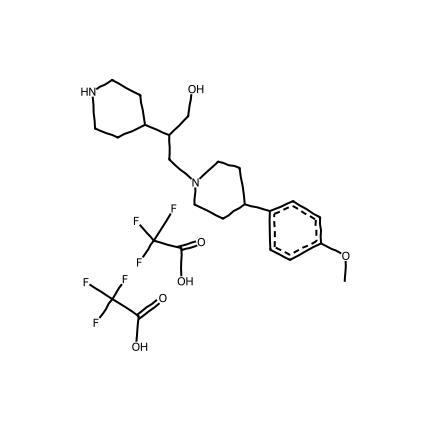 COc1ccc(C2CCN(CC(CO)C3CCNCC3)CC2)cc1.O=C(O)C(F)(F)F.O=C(O)C(F)(F)F